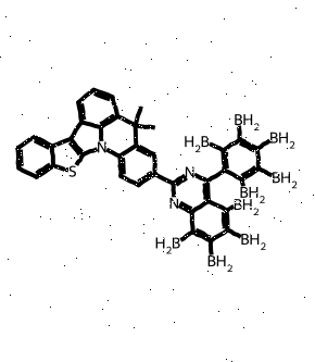 Bc1c(B)c(B)c(-c2nc(-c3ccc4c(c3)C(C)(C)c3cccc5c6c7ccccc7sc6n-4c35)nc3c(B)c(B)c(B)c(B)c23)c(B)c1B